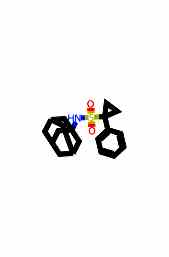 O=S(=O)(NC12CC3CC(CC(C3)C1)C2)C1(c2ccccc2)CC1